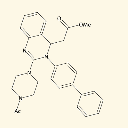 COC(=O)CC1c2ccccc2N=C(N2CCN(C(C)=O)CC2)N1c1ccc(-c2ccccc2)cc1